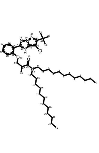 CCCCCCCCCCCCN(CCCCCCCCCCCC)C(=O)C(C)COc1ccccc1-c1nn2nc(C(C)(C)C)c(Cl)c2[nH]1